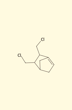 ClCC1C2=CCC(C2)C1CCl